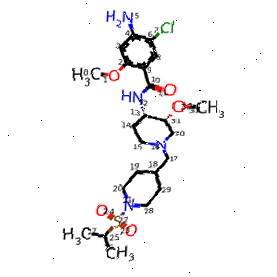 COc1cc(N)c(Cl)cc1C(=O)N[C@H]1CCN(CC2CCN(S(=O)(=O)C(C)C)CC2)C[C@H]1OC